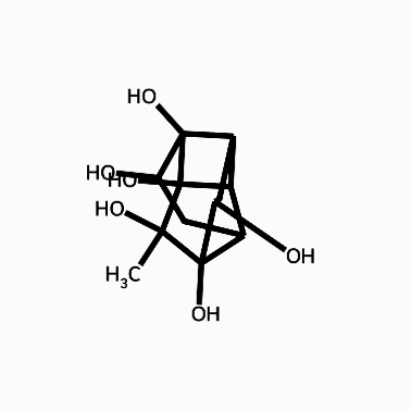 CC1(O)C2(O)C(O)CC3C4C2CC(O)C3(O)C41O